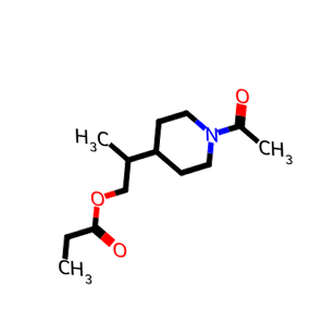 CCC(=O)OCC(C)C1CCN(C(C)=O)CC1